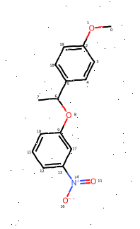 COc1ccc(C(C)Oc2cccc([N+](=O)[O-])c2)cc1